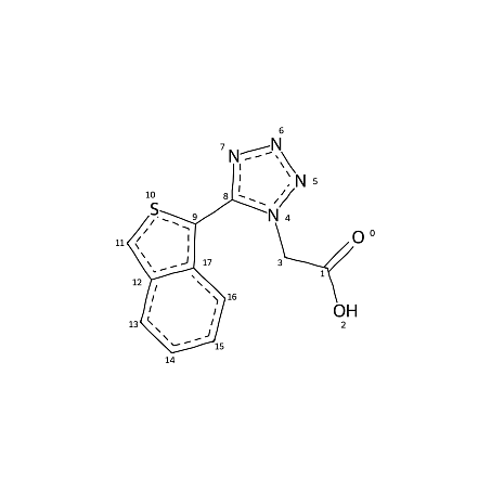 O=C(O)Cn1nnnc1-c1scc2ccccc12